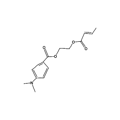 CC=CC(=O)OCCOC(=O)c1ccc(N(C)C)cc1